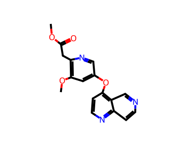 COC(=O)Cc1ncc(Oc2ccnc3ccncc23)cc1OC